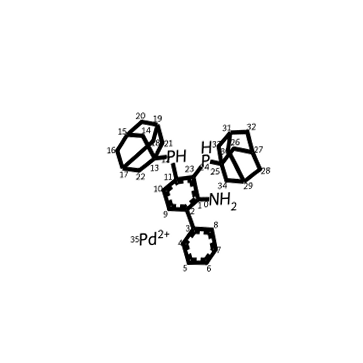 Nc1c(-c2ccccc2)ccc(PC23CC4CC(CC(C4)C2)C3)c1PC12CC3CC(CC(C3)C1)C2.[Pd+2]